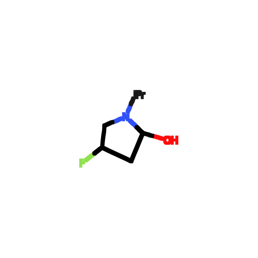 CC(C)N1CC(F)CC1O